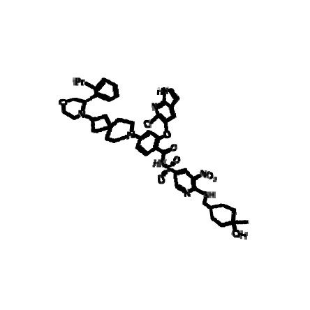 CC(C)c1ccccc1[C@@H]1COCCN1C1CC2(CCN(c3ccc(C(=O)NS(=O)(=O)c4cnc(NCC5CCC(C)(O)CC5)c([N+](=O)[O-])c4)c(Oc4cc5cc[nH]c5nc4Cl)c3)CC2)C1